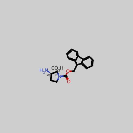 N[C@@H]1CCN(C(=O)OCC2c3ccccc3-c3ccccc32)[C@@H]1C(=O)O